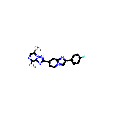 Cc1ncc(C)n2nc(-c3ccn4cc(-c5ccc(F)cc5)nc4c3)nc12